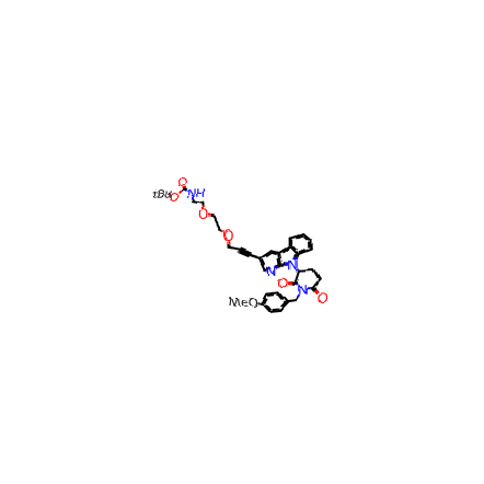 COc1ccc(CN2C(=O)CCC(n3c4ccccc4c4cc(C#CCOCCOCCNC(=O)OC(C)(C)C)cnc43)C2=O)cc1